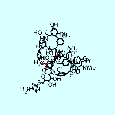 CN[C@@H](CC(C)C)C(=O)N[C@H]1C(=O)N[C@@H](CC(N)=O)C(=O)N[C@H]2C(=O)N[C@H]3C(=O)N[C@H](C(=O)N[C@@H](C(=O)O)c4cc(O)cc(O)c4-c4cc3ccc4O)[C@H](O)c3ccc(c(Cl)c3)Oc3cc2cc(c3OC2OC(CSc3nnc(N)s3)C(O)C(O)C2OC2CC(C)(NCc3ccc(-c4ccc(Cl)cc4)cc3)C(O)C(C)O2)Oc2ccc(cc2Cl)[C@H]1O